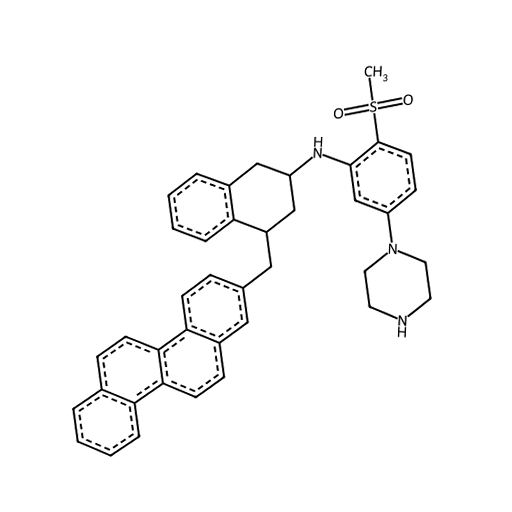 CS(=O)(=O)c1ccc(N2CCNCC2)cc1NC1Cc2ccccc2C(Cc2ccc3c(ccc4c5ccccc5ccc34)c2)C1